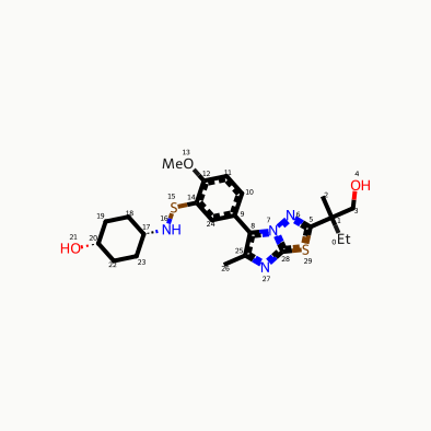 CCC(C)(CO)c1nn2c(-c3ccc(OC)c(SN[C@H]4CC[C@@H](O)CC4)c3)c(C)nc2s1